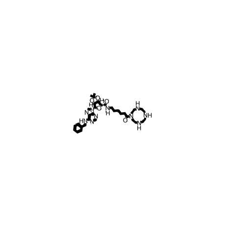 CC1(C)O[C@@H]2[C@H](O1)[C@@H](C(=O)NCCCCCC(=O)N1CCNCCNCCNCC1)O[C@H]2n1cnc2c(NCc3ccccc3)ncnc21